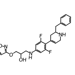 OC(CNc1cc(F)c(C2=CCNC(Cc3ccccc3)C2)c(F)c1)COc1ccon1